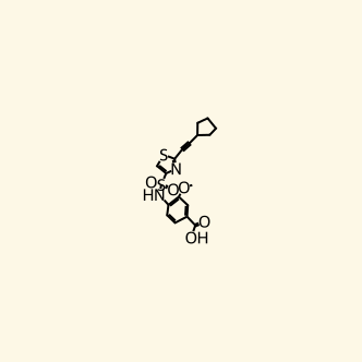 COc1cc(C(=O)O)ccc1NS(=O)(=O)c1csc(C#CC2CCCC2)n1